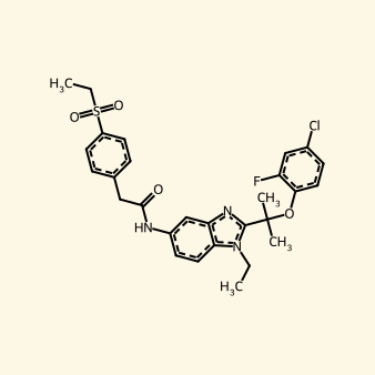 CCn1c(C(C)(C)Oc2ccc(Cl)cc2F)nc2cc(NC(=O)Cc3ccc(S(=O)(=O)CC)cc3)ccc21